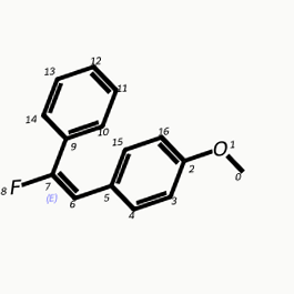 COc1ccc(/C=C(/F)c2ccccc2)cc1